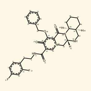 O=C(NCCc1ccc(F)cc1F)c1cn2c(c(OCc3ccccc3)c1=O)C(=O)N1[C@@H](C2)NC[C@@H]2CCCC[C@@H]21